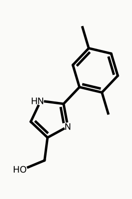 Cc1ccc(C)c(-c2nc(CO)c[nH]2)c1